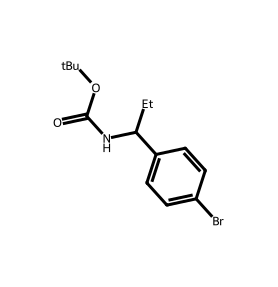 CCC(NC(=O)OC(C)(C)C)c1ccc(Br)cc1